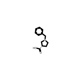 O=C(O)[C@H]1CCN(Cc2ccccc2)C1